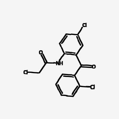 O=C(CCl)Nc1ccc(Cl)cc1C(=O)c1ccccc1Cl